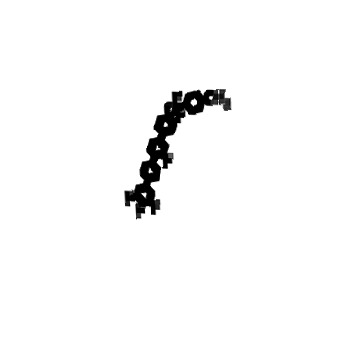 CC1CCC(C(F)(F)Oc2ccc(-c3ccc(-c4ccc(-c5cc(F)c(F)c(F)c5)cc4)c(F)c3)cc2)CC1